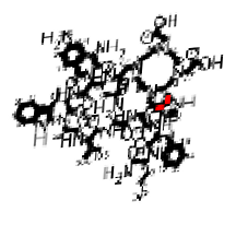 CSCC[C@H](NC(=O)[C@H](Cc1ccccc1)NC(=O)[C@H](Cc1c[nH]cn1)NC(=O)CNC(=O)[C@@H](NC(=O)[C@H](C)NC(=O)[C@H](Cc1c[nH]c2ccccc12)NC(=O)[C@H]([C@@H](CC(N)=O)NC(=O)CN1CCN(CC(=O)O)CCN(CC(=O)O)CCN(CC(=O)O)CC1)N(C(=O)CN)C(=O)c1ccc(N)cc1)C(C)C)C(N)=O